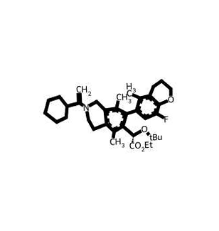 C=C(C1CCCCC1)N1CCc2c(C)c([C@H](OC(C)(C)C)C(=O)OCC)c(-c3cc(F)c4c(c3C)CCCO4)c(C)c2C1